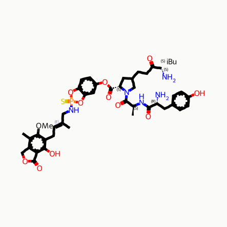 CC[C@H](C)[C@H](N)C(=O)CCC1C[C@@H](C(=O)Oc2ccc3c(c2)OP(=S)(NC/C(C)=C/Cc2c(O)c4c(c(C)c2OC)COC4=O)O3)N(C(=O)[C@H](C)NC(=O)[C@H](N)Cc2ccc(O)cc2)C1